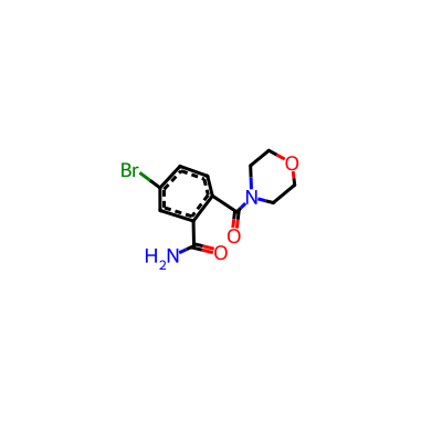 NC(=O)c1cc(Br)ccc1C(=O)N1CCOCC1